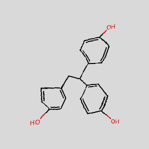 Oc1ccc(CC(c2ccc(O)cc2)c2ccc(O)cc2)cc1